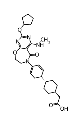 CNc1nc(OC2CCCC2)nc2c1C(=O)N(C1=CCC([C@H]3CC[C@H](CC(=O)O)CC3)C=C1)CCO2